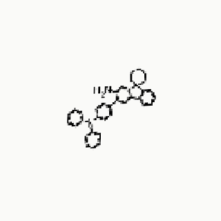 Nc1cc2c(cc1-c1ccc(N(c3ccccc3)c3ccccc3)cc1)-c1ccccc1C21CCCCC1